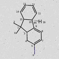 CC1(C)C2CC(I)=CC=C2[C@@H]2C=CC=CC21